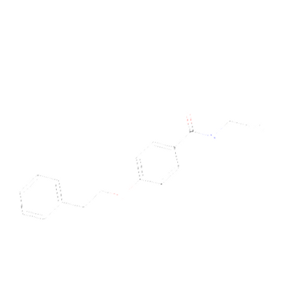 O=C(O)CNC(=O)c1ccc(OCCc2ccccc2)cc1